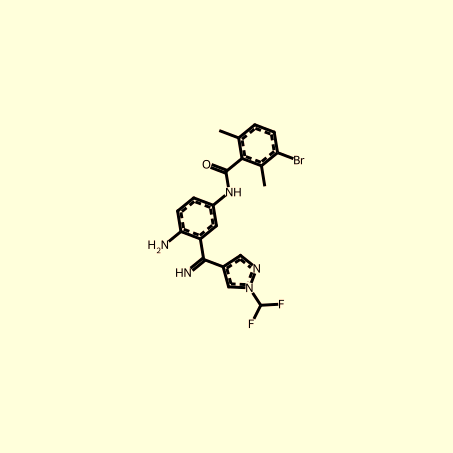 Cc1ccc(Br)c(C)c1C(=O)Nc1ccc(N)c(C(=N)c2cnn(C(F)F)c2)c1